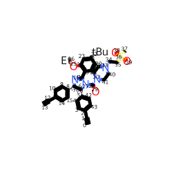 C#Cc1ccc([C@@H]2[C@H](c3ccc(C#C)cc3)N=C(c3ccc(C(C)(C)C)cc3OCC)N2C(=O)N2CCN(CCS(C)(=O)=O)CC2)cc1